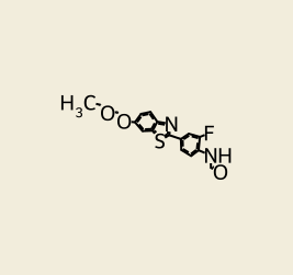 CCOCOc1ccc2nc(-c3ccc(NC=O)c(F)c3)sc2c1